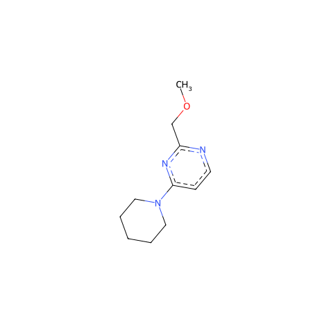 COCc1nccc(N2CCCCC2)n1